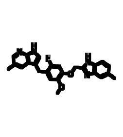 COc1cc(Cc2c[nH]c3ncc(C)cc23)c(F)cc1OCc1nc2cc(C)ccc2[nH]1